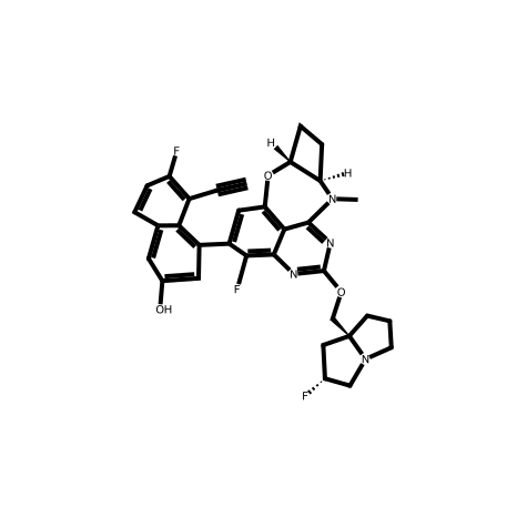 C#Cc1c(F)ccc2cc(O)cc(-c3cc4c5c(nc(OC[C@@]67CCCN6C[C@H](F)C7)nc5c3F)N(C)[C@@H]3CC[C@H]3O4)c12